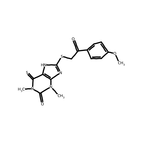 COc1ccc(C(=O)CSc2nc3c([nH]2)c(=S)n(C)c(=O)n3C)cc1